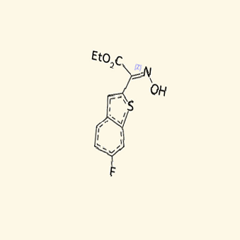 CCOC(=O)/C(=N/O)c1cc2ccc(F)cc2s1